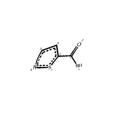 [NH]C(=O)c1ccns1